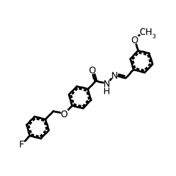 COc1cccc(/C=N/NC(=O)c2ccc(OCc3ccc(F)cc3)cc2)c1